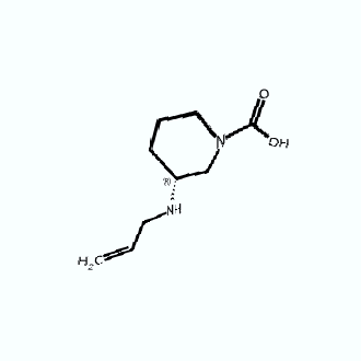 C=CCN[C@@H]1CCCN(C(=O)O)C1